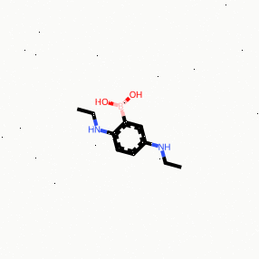 CCNc1ccc(NCC)c(B(O)O)c1